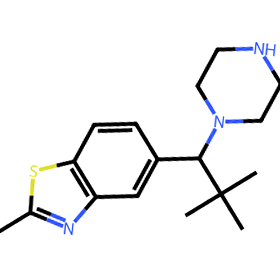 Cc1nc2cc(C(N3CCNCC3)C(C)(C)C)ccc2s1